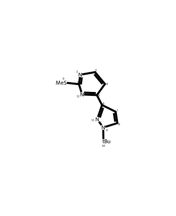 CSc1nccc(-c2ccn(C(C)(C)C)n2)n1